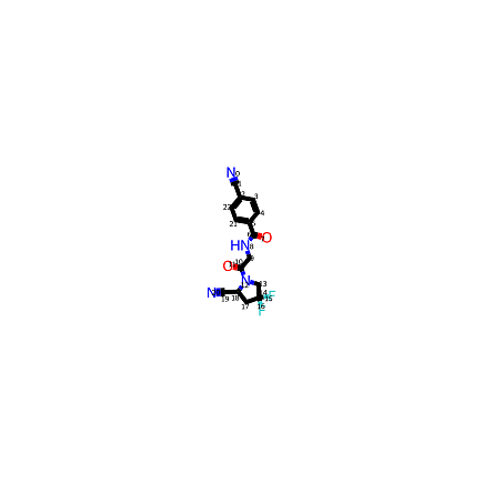 N#Cc1ccc(C(=O)NCC(=O)N2CC(F)(F)CC2C#N)cc1